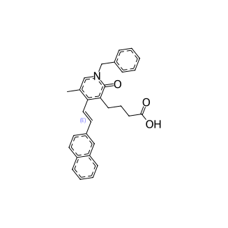 Cc1cn(Cc2ccccc2)c(=O)c(CCCC(=O)O)c1/C=C/c1ccc2ccccc2c1